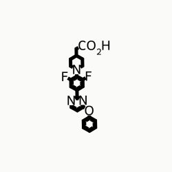 O=C(O)CC1CCN(c2c(F)cc(-c3nccc(Oc4ccccc4)n3)cc2F)CC1